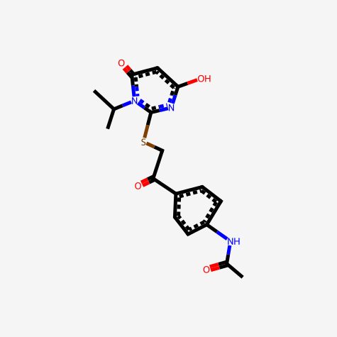 CC(=O)Nc1ccc(C(=O)CSc2nc(O)cc(=O)n2C(C)C)cc1